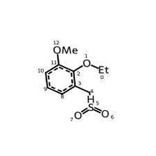 CCOc1c(C[SH](=O)=O)cccc1OC